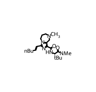 CCCC/C=C/c1nc(C(=O)N[C@H](C(=O)NC)C(C)(C)C)c2n1CCCN(C)C2